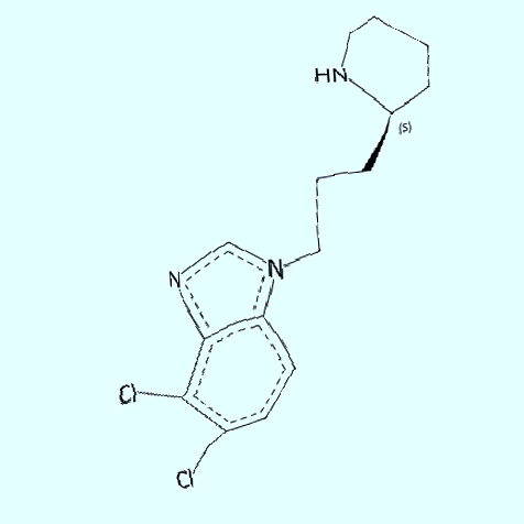 Clc1ccc2c(ncn2CCC[C@@H]2CCCCN2)c1Cl